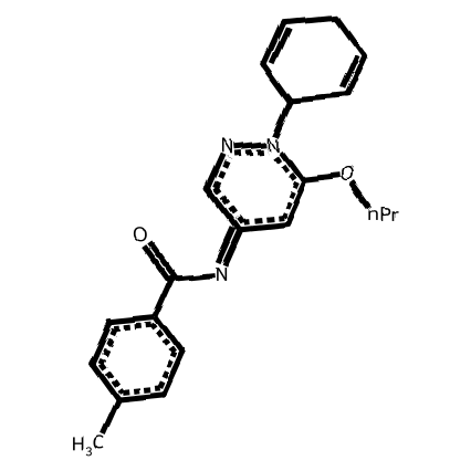 CCCOc1cc(=NC(=O)c2ccc(C)cc2)cnn1C1C=CCC=C1